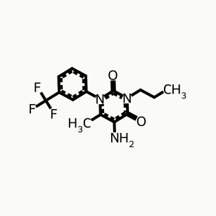 CCCn1c(=O)c(N)c(C)n(-c2cccc(C(F)(F)F)c2)c1=O